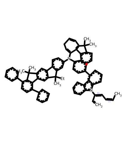 C=C/C(=C\C=C/C)n1c2ccccc2c2c(-c3ccc(N(C4=CCC=CC5=C4c4ccccc4C5(C)C)c4ccc5c(c4)C(C)(CC)c4cc6c(cc4-5)C(C)(C)c4c(-c5ccccc5)ccc(-c5ccccc5)c4-6)cc3)cccc21